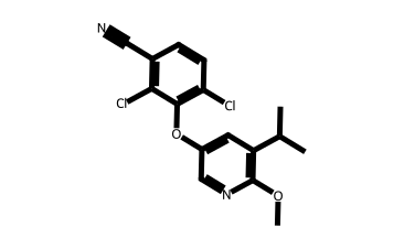 COc1ncc(Oc2c(Cl)ccc(C#N)c2Cl)cc1C(C)C